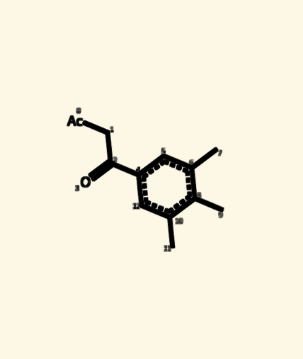 CC(=O)CC(=O)c1cc(C)c(C)c(C)c1